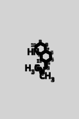 CN(C)C=C1CCC2CCCNC2C1